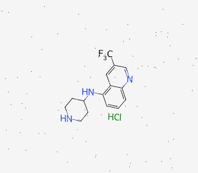 Cl.FC(F)(F)c1cnc2cccc(NC3CCNCC3)c2c1